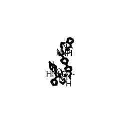 C[C@H](NC(=O)[C@@H]1CCCN1C(=O)[C@H](NC(=O)N1CCN(C)CC1)c1ccccc1)c1ccc(-c2ccc(-c3cnc([C@@H]4CCCN4C(=O)[C@H](C)c4ccccc4)[nH]3)cc2)cc1